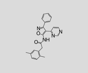 Cc1ccc(C)c(CC(=O)Nc2onc(-c3ccccc3)c2-c2ccncn2)c1